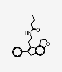 CCCC(=O)NCCC1=C(c2ccccc2)Cc2ccc3c(c21)CCO3